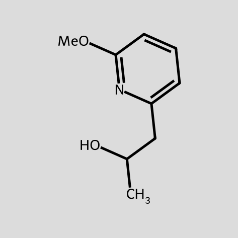 COc1cccc(CC(C)O)n1